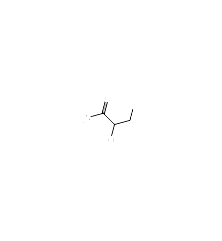 C[CH]C(C)C(N)=O